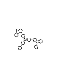 CC1(C)c2ccccc2-c2c(-c3ccc(N(c4ccc(C5=CC6=C(c7ccccc7)c7ccccc7C6C=C5)cc4)c4ccc(-c5ccccc5)cc4)cc3)cccc21